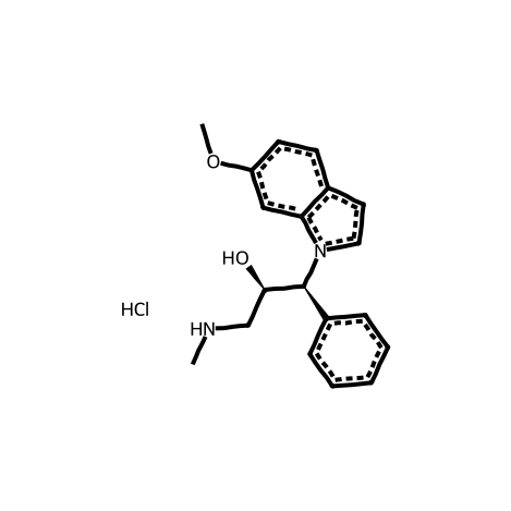 CNC[C@@H](O)[C@H](c1ccccc1)n1ccc2ccc(OC)cc21.Cl